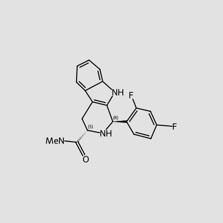 CNC(=O)[C@@H]1Cc2c([nH]c3ccccc23)[C@@H](c2ccc(F)cc2F)N1